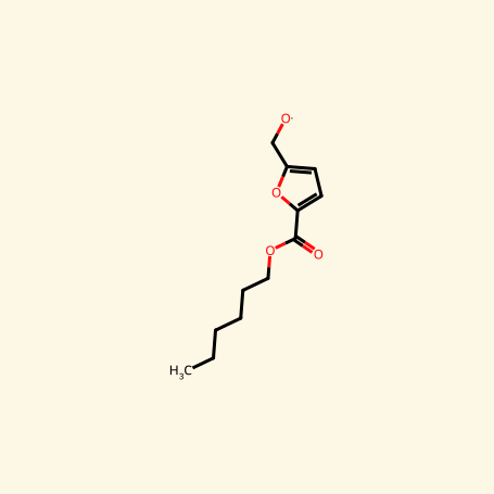 CCCCCCOC(=O)c1ccc(C[O])o1